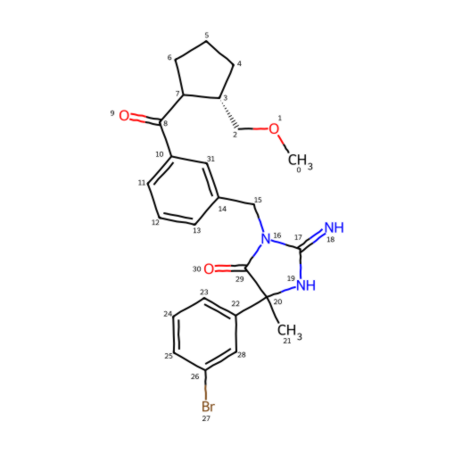 COC[C@H]1CCCC1C(=O)c1cccc(CN2C(=N)NC(C)(c3cccc(Br)c3)C2=O)c1